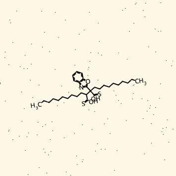 CCCCCCCCCCC(C(O)=S)C(CCCCCCCCCC)(C(O)=S)c1nc2ccccc2o1